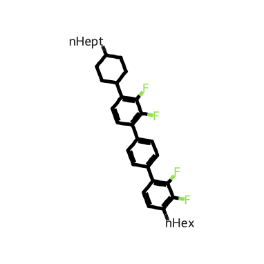 CCCCCCCC1CCC(c2ccc(-c3ccc(-c4ccc(CCCCCC)c(F)c4F)cc3)c(F)c2F)CC1